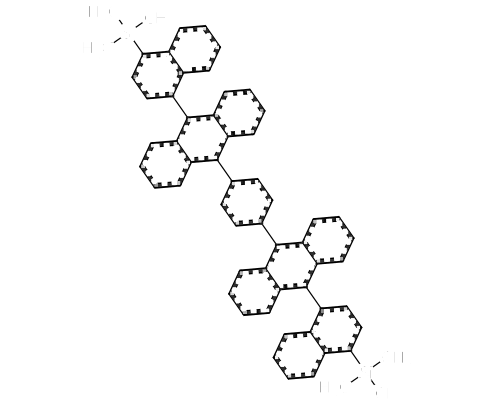 C[Si](C)(C)c1ccc(-c2c3ccccc3c(-c3ccc(-c4c5ccccc5c(-c5ccc([Si](C)(C)C)c6ccccc56)c5ccccc45)cc3)c3ccccc23)c2ccccc12